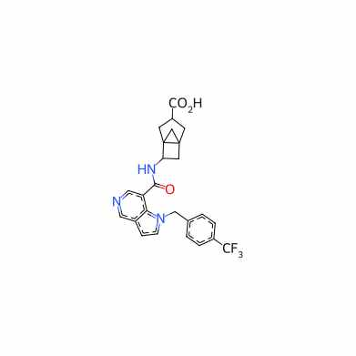 O=C(NC1CC23CC(C(=O)O)CC12C3)c1cncc2ccn(Cc3ccc(C(F)(F)F)cc3)c12